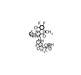 COC(=O)C1=C(CN2CC[C@]3(F)C(=O)N(CC(C)(C)C(=O)O)C[C@H]23)NC(c2nccs2)=NC1c1ccc(F)c(F)c1Cl